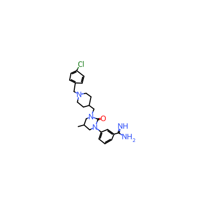 CC1CN(CC2CCN(Cc3ccc(Cl)cc3)CC2)C(=O)N(c2cccc(C(=N)N)c2)C1